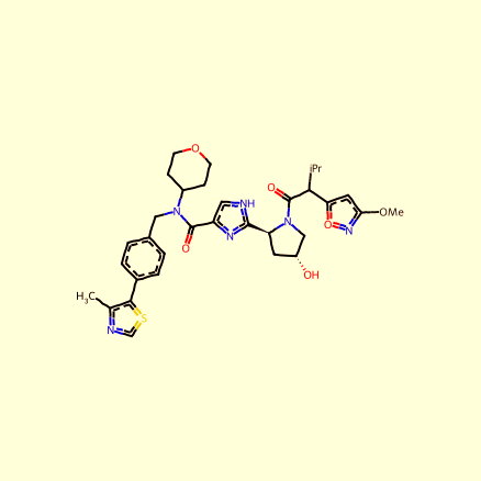 COc1cc(C(C(=O)N2C[C@H](O)C[C@H]2c2nc(C(=O)N(Cc3ccc(-c4scnc4C)cc3)C3CCOCC3)c[nH]2)C(C)C)on1